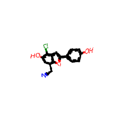 N#CCc1cc(O)c(Cl)c2cc(-c3ccc(O)cc3)oc12